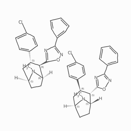 CN1[C@H]2CC[C@@H]1[C@H](c1nc(-c3ccccc3)no1)[C@@H](c1ccc(Cl)cc1)C2.CN1[C@H]2CC[C@H]1[C@@H](c1nc(-c3ccccc3)no1)[C@H](c1ccc(Cl)cc1)C2